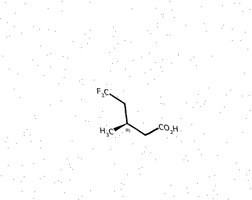 C[C@H](CC(=O)O)CC(F)(F)F